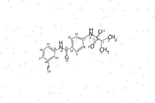 CC(C)S(=O)(=O)Nc1ccc(C(=O)Nc2cccc(F)c2)cc1